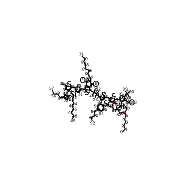 CCCCCCCCN1C(=O)c2c(-c3cc4c(s3)-c3sc(C(C)(C)C(C)(C)c5sc(-c6cc7c(s6)-c6sc(C)cc6[Si]7(CCCCCCCC)c6ccc(CCCC)s6)c6c5C(=O)N(CCCCCCCC)C6=O)cc3[Si]4(CC(CC)CCCC)c3ccc(CCCC)cc3)sc(C(C)(C)C)c2C1=O